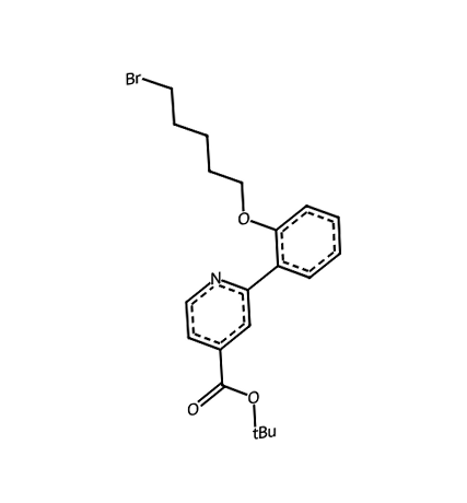 CC(C)(C)OC(=O)c1ccnc(-c2ccccc2OCCCCCBr)c1